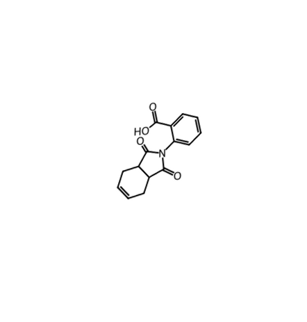 O=C(O)c1ccccc1N1C(=O)C2CC=CCC2C1=O